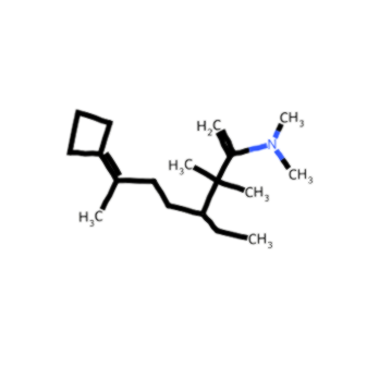 C=C(N(C)C)C(C)(C)C(CC)CCC(C)=C1CCC1